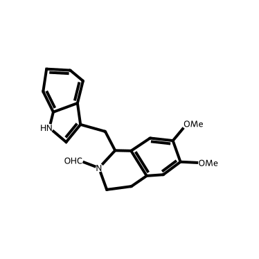 COc1cc2c(cc1OC)C(Cc1c[nH]c3ccccc13)N(C=O)CC2